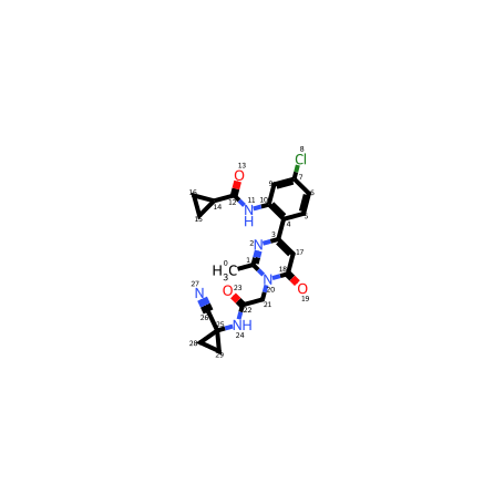 Cc1nc(-c2ccc(Cl)cc2NC(=O)C2CC2)cc(=O)n1CC(=O)NC1(C#N)CC1